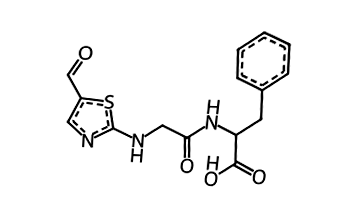 O=Cc1cnc(NCC(=O)NC(Cc2ccccc2)C(=O)O)s1